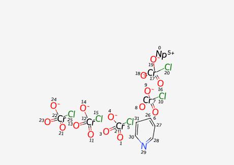 [Np+5].[O]=[Cr](=[O])([O-])[Cl].[O]=[Cr](=[O])([O-])[Cl].[O]=[Cr](=[O])([O-])[Cl].[O]=[Cr](=[O])([O-])[Cl].[O]=[Cr](=[O])([O-])[Cl].c1ccncc1